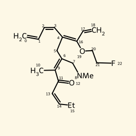 C=C/C=C\C(C/C(CNC)=C(\C)C(=O)/C=C\CC)=C(/C=C)OCCF